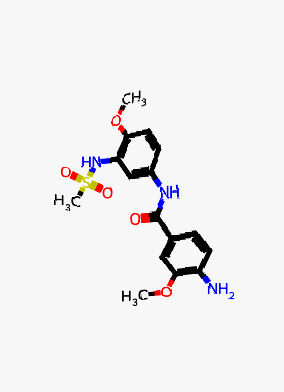 COc1cc(C(=O)Nc2ccc(OC)c(NS(C)(=O)=O)c2)ccc1N